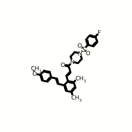 COc1ccc(/C=C/c2cc(C)cc(C)c2/C=C/C(=O)N2CCN(S(=O)(=O)c3ccc(F)cc3)CC2)cc1